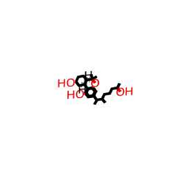 CC(O)CCCC(C)C(C)c1cc(O)c2c(c1)OC(C)(C)[C@@H]1CCC(O)C[C@@H]21